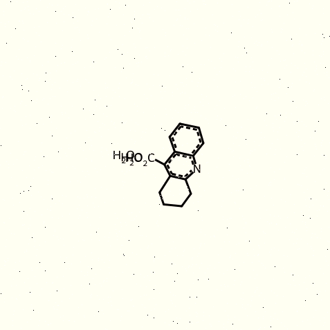 O.O.O=C(O)c1c2c(nc3ccccc13)CCCC2